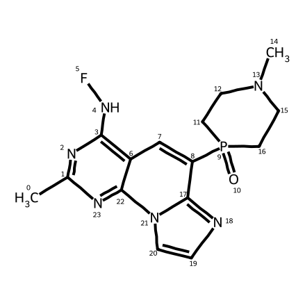 Cc1nc(NF)c2cc(P3(=O)CCN(C)CC3)c3nccn3c2n1